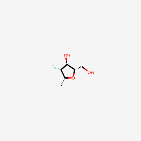 C[C@H]1O[C@@H](CO)[C@H](O)[C@H]1F